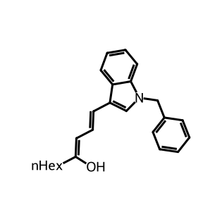 CCCCCCC(O)=CC=Cc1cn(Cc2ccccc2)c2ccccc12